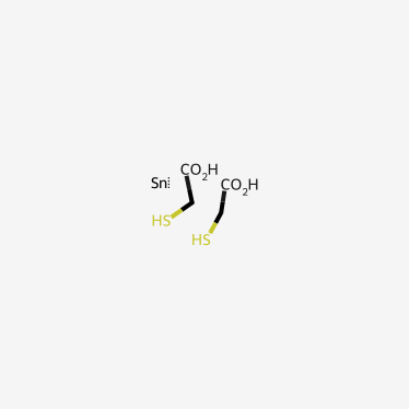 O=C(O)CS.O=C(O)CS.[Sn]